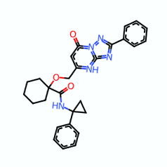 O=C(NC1(c2ccccc2)CC1)C1(OCc2cc(=O)n3nc(-c4ccccc4)nc3[nH]2)CCCCC1